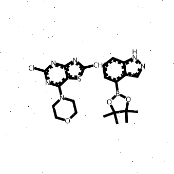 CC1(C)OB(c2cccc3[nH]ncc23)OC1(C)C.O=Cc1nc2nc(Cl)nc(N3CCOCC3)c2s1